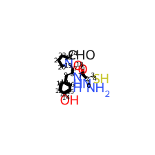 NN[C@@H](CS)C(=O)N[C@@H](Cc1ccc(O)cc1)C(=O)N1CCC[C@H]1C=O